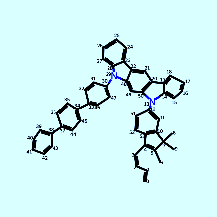 C=C/C=C\C1=C(C)C(C)(C)c2cc(-n3c4ccccc4c4cc5c6ccccc6n(-c6ccc(-c7ccc(-c8ccccc8)cc7)cc6)c5cc43)ccc21